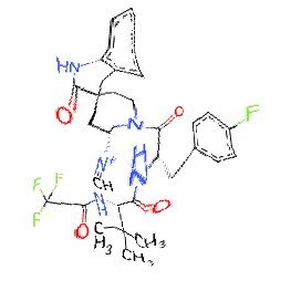 C#[N+][C@@H]1C[C@@]2(CN1C(=O)[C@H](Cc1ccc(F)cc1)NC(=O)[C@@H](NC(=O)C(F)(F)F)C(C)(C)C)C(=O)Nc1ccccc12